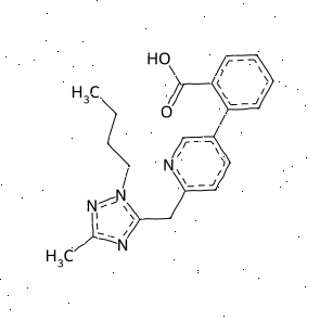 CCCCn1nc(C)nc1Cc1ccc(-c2ccccc2C(=O)O)cn1